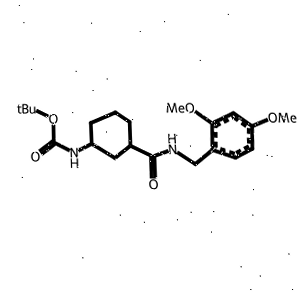 COc1ccc(CNC(=O)C2CCCC(NC(=O)OC(C)(C)C)C2)c(OC)c1